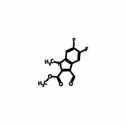 COC(=O)c1c(C=O)c2cc(F)c(F)cc2n1C